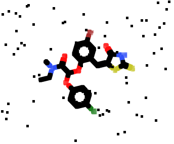 CCN(C)C(=O)C(Oc1ccc(Cl)cc1)Oc1ccc(Br)cc1C=C1SC(=S)NC1=O